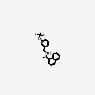 C[C@@H](NCc1cccc(OC(F)(F)F)c1)c1cccc2ccccc12